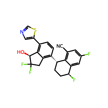 N#Cc1cc(F)cc2c1[C@@H](c1ccc(-c3cncs3)c3c1CC(F)(F)[C@H]3O)CC[C@@H]2F